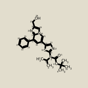 CC(C)N(C(=O)OC(C)(C)C)c1ncc(-c2cc(-c3ccccc3)c3nc(CO)cn3c2)s1